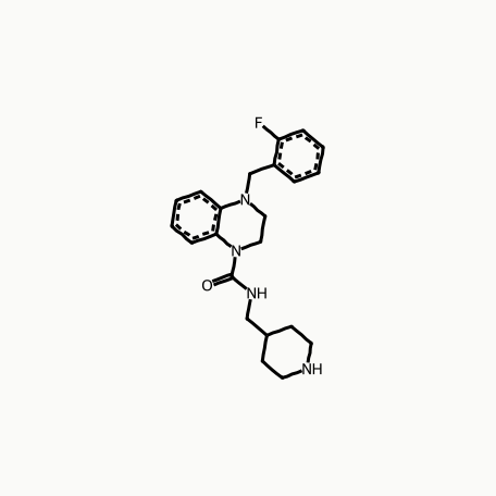 O=C(NCC1CCNCC1)N1CCN(Cc2ccccc2F)c2ccccc21